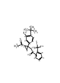 CC(C)(C)c1ccc(C2(CC(=O)c3ncccc3C(F)(F)F)CC2C(N)=O)cc1F